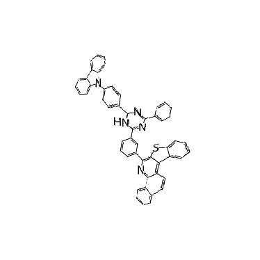 c1ccc(C2=NC(c3ccc(-n4c5ccccc5c5ccccc54)cc3)NC(c3cccc(-c4nc5c6ccccc6ccc5c5c4sc4ccccc45)c3)=N2)cc1